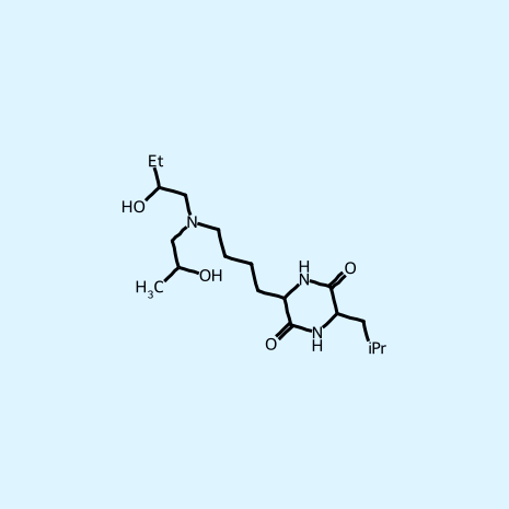 CCC(O)CN(CCCCC1NC(=O)C(CC(C)C)NC1=O)CC(C)O